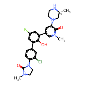 C[C@@H]1CN(c2cc(-c3cc(F)cc(-c4ccc(N5CCN(C)C5=O)c(Cl)c4)c3O)cn(C)c2=O)CCN1